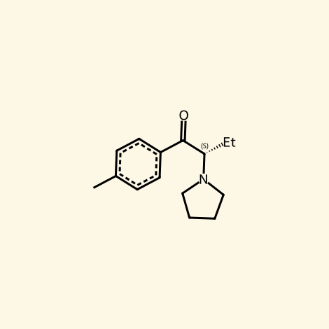 CC[C@@H](C(=O)c1ccc(C)cc1)N1CCCC1